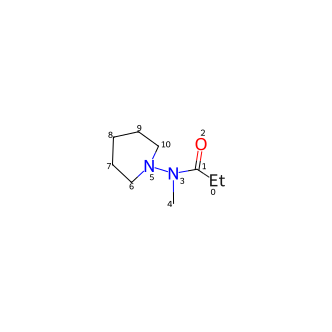 CCC(=O)N(C)N1CCCCC1